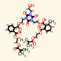 C=C(C)C(=O)OCCOC(=O)C1=C(C(=O)OCCn2c(=O)n(CCO)c(=O)n(CCOC(=O)c3ccccc3C(=O)OCCOC(=O)C(=C)C)c2=O)C(C)CC=C1